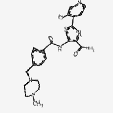 CN1CCN(Cc2ccc(C(=O)Nc3sc(-c4ccncc4Cl)nc3C(N)=O)cc2)CC1